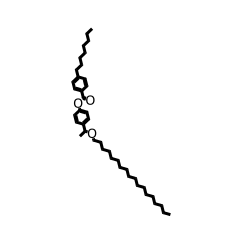 CCCCCCCCCCCCCCCCCCOC(C)c1ccc(OC(=O)c2ccc(CCCCCCCC)cc2)cc1